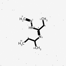 C=NN/C(CC)=N\C(C)CC